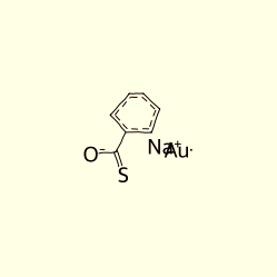 [Au].[Na+].[O-]C(=S)c1ccccc1